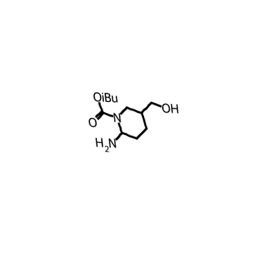 CC(C)COC(=O)N1CC(CO)CCC1N